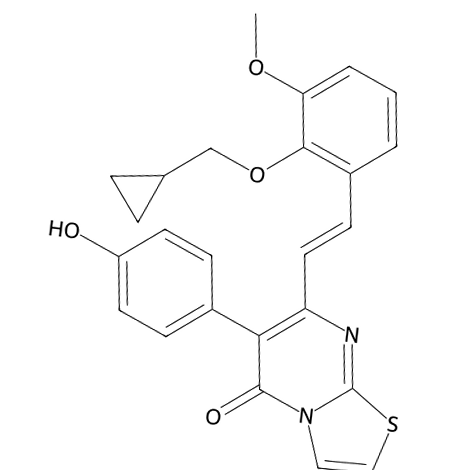 COc1cccc(C=Cc2nc3sccn3c(=O)c2-c2ccc(O)cc2)c1OCC1CC1